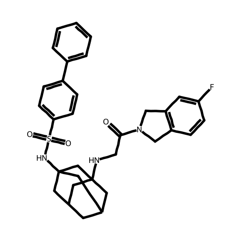 O=C(CNC12CC3CC(C1)CC(NS(=O)(=O)c1ccc(-c4ccccc4)cc1)(C3)C2)N1Cc2ccc(F)cc2C1